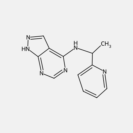 CC(Nc1ncnc2[nH]ncc12)c1ccccn1